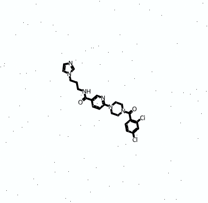 O=C(NCCCn1ccnc1)c1ccc(N2CCN(C(=O)c3ccc(Cl)cc3Cl)CC2)nc1